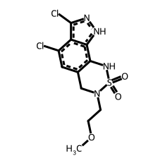 COCCN1Cc2cc(Cl)c3c(Cl)n[nH]c3c2NS1(=O)=O